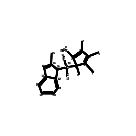 CCCC1=C(C)C(C)=C(C)[C]1(C)[Zr]([F])([F])[CH]1C(C)=Cc2ccccc21